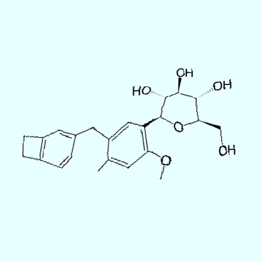 COc1cc(C)c(Cc2ccc3c(c2)CC3)cc1[C@@H]1O[C@H](CO)[C@@H](O)[C@H](O)[C@H]1O